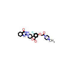 CN1CCN(C(=O)COc2cc(F)c3c(c2)C(=O)OC32CCN(c3nc4c(c(=O)[nH]3)CCCC4)CC2)CC1